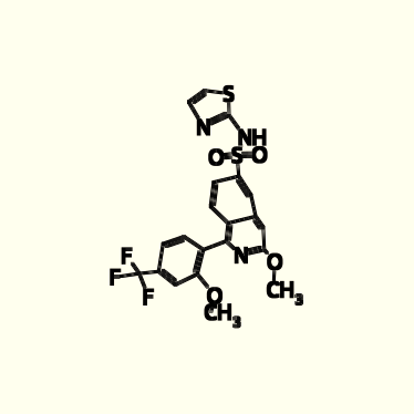 COc1cc2cc(S(=O)(=O)Nc3nccs3)ccc2c(-c2ccc(C(F)(F)F)cc2OC)n1